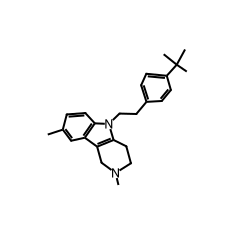 Cc1ccc2c(c1)c1c(n2CCc2ccc(C(C)(C)C)cc2)CCN(C)C1